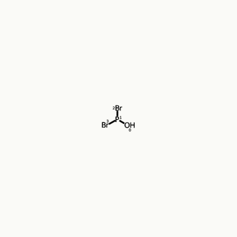 OP(Br)Br